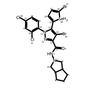 O=C(NN1CC2CCCC2C1)c1nn(-c2ccc(Cl)cc2Cl)c(C2=CC=C(Br)[SeH2]2)c1Br